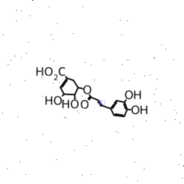 O=C(/C=C/c1ccc(O)c(O)c1)OC1CC(C(=O)O)=CC(O)C1O